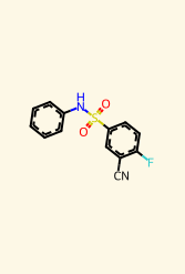 N#Cc1cc(S(=O)(=O)Nc2ccccc2)ccc1F